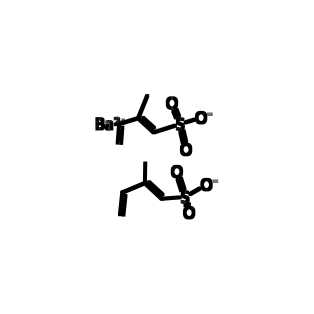 C=CC(C)=CS(=O)(=O)[O-].C=CC(C)=CS(=O)(=O)[O-].[Ba+2]